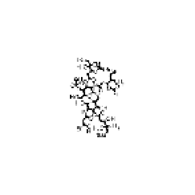 CCC(=O)O[C@@H](CC(=O)NC1C(OCC2OC(O)C(NC(=O)C[C@H](O)CC)C(OC(=O)C[C@H](O)C(C)(C)CC(C)(C)C)C2O)OC(CO)C(OP(=O)(O)O)C1OC(=O)C[C@H](OC(=O)C(C)(C)C)C(C)(C)CC(C)(C)C)C(C)CC(C)C